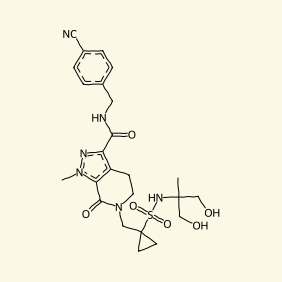 Cn1nc(C(=O)NCc2ccc(C#N)cc2)c2c1C(=O)N(CC1(S(=O)(=O)NC(C)(CO)CO)CC1)CC2